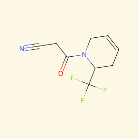 N#CCC(=O)N1CC=CCC1C(F)(F)F